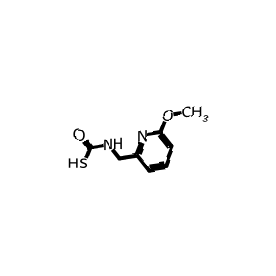 COc1cccc(CNC(=O)S)n1